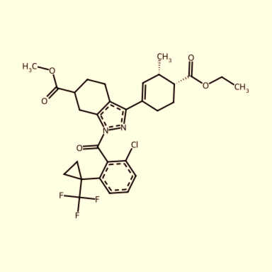 CCOC(=O)[C@@H]1CCC(c2nn(C(=O)c3c(Cl)cccc3C3(C(F)(F)F)CC3)c3c2CCC(C(=O)OC)C3)=C[C@@H]1C